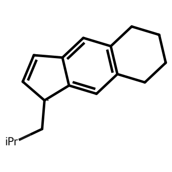 CC(C)C[C]1C=Cc2cc3c(cc21)CCCC3